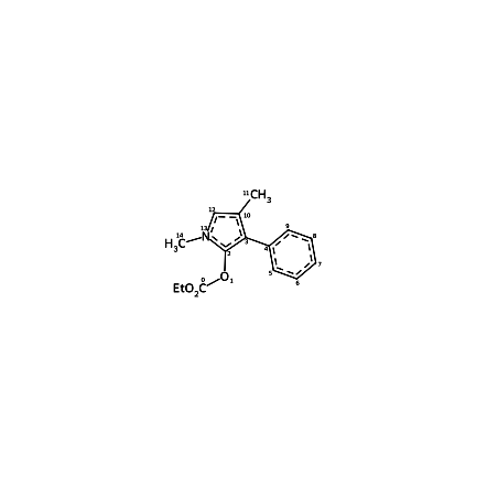 CCOC(=O)Oc1c(-c2ccccc2)c(C)cn1C